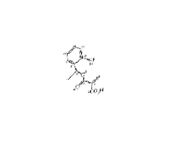 C=C(C(=O)O)C(=O)OC(C)c1ccccc1CC